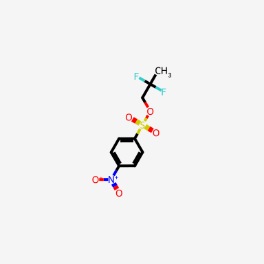 CC(F)(F)COS(=O)(=O)c1ccc([N+](=O)[O-])cc1